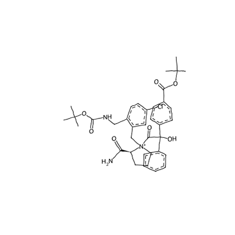 CC(C)(C)OC(=O)NCc1ccc(Cl)cc1C[N+]1(C(=O)C(O)(c2ccccc2)c2ccc(C(=O)OC(C)(C)C)cc2)CCC[C@H]1C(N)=O